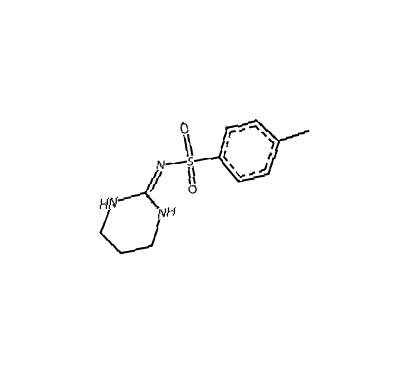 Cc1ccc(S(=O)(=O)N=C2NCCCN2)cc1